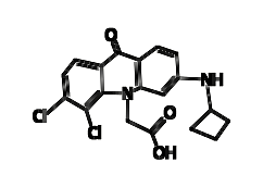 O=C(O)Cn1c2cc(NC3CCC3)ccc2c(=O)c2ccc(Cl)c(Cl)c21